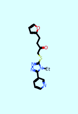 CCn1c(SCC(=O)CCc2ccco2)nnc1-c1cccnc1